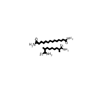 CCC(N)C(C)CCCCCC(C)C(N)CC.NC(=O)CCCCCCCCCCCCC(N)=O